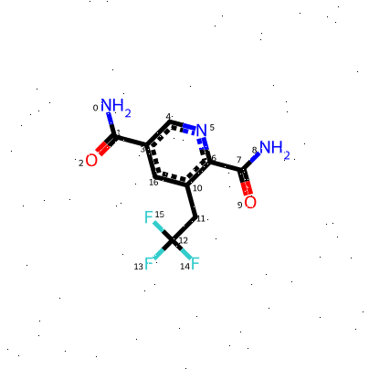 NC(=O)c1cnc(C(N)=O)c(CC(F)(F)F)c1